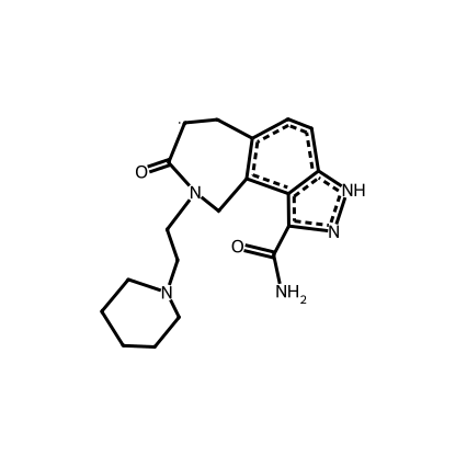 NC(=O)c1n[nH]c2ccc3c(c12)CN(CCN1CCCCC1)C(=O)[CH]C3